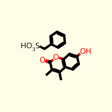 Cc1c(C)c2ccc(O)cc2oc1=O.O=S(=O)(O)Cc1ccccc1